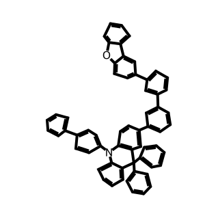 c1ccc(-c2ccc(N3c4ccccc4C(c4ccccc4)(c4ccccc4)c4cc(-c5cccc(-c6cccc(-c7ccc8oc9ccccc9c8c7)c6)c5)ccc43)cc2)cc1